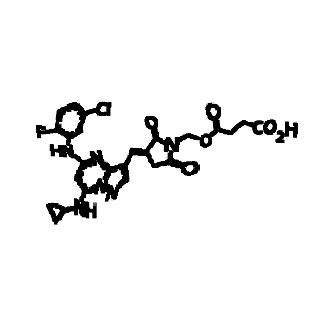 O=C(O)CCC(=O)OCN1C(=O)C/C(=C\c2cnn3c(NC4CC4)cc(Nc4cc(Cl)ccc4F)nc23)C1=O